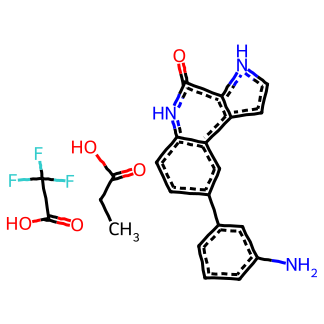 CCC(=O)O.Nc1cccc(-c2ccc3[nH]c(=O)c4[nH]ccc4c3c2)c1.O=C(O)C(F)(F)F